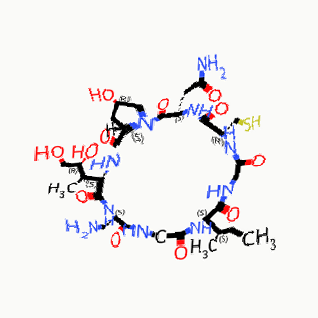 CC[C@H](C)[C@@H]1NC(=O)CNC(=O)[C@H](CN)NC(=O)[C@H]([C@@H](C)[C@@H](O)CO)NC(=O)[C@@H]2C[C@@H](O)CN2C(=O)[C@H](CC(N)=O)NC(=O)[C@H](CS)NC(=O)CNC1=O